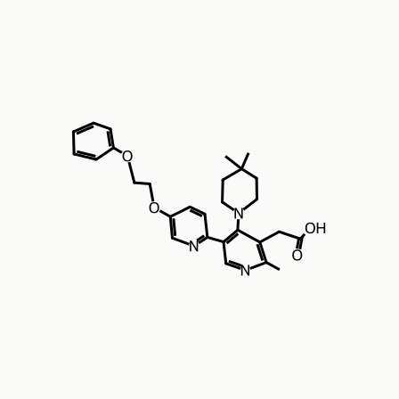 Cc1ncc(-c2ccc(OCCOc3ccccc3)cn2)c(N2CCC(C)(C)CC2)c1CC(=O)O